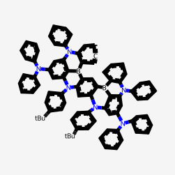 CC(C)(C)c1ccc(N2c3cc4c(cc3B3c5ccccc5N(c5ccccc5)c5cc(N(c6ccccc6)c6ccccc6)cc2c53)B2c3ccccc3N(c3ccccc3)c3cc(N(c5ccccc5)c5ccccc5)cc(c32)N4c2ccc(C(C)(C)C)cc2)cc1